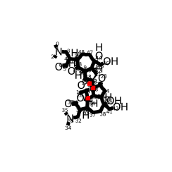 CN(C)CC1C(=O)O[C@@H]2[C@@H]3[C@@H](C[C@@]45OC(C)(C)O[C@@]34CC[C@]53C(=O)C[C@@H]4C3[C@H]3OC(=O)C(CN(C)C)[C@@H]3CCC4(O)CO)C(O)(CO)CC[C@@H]12